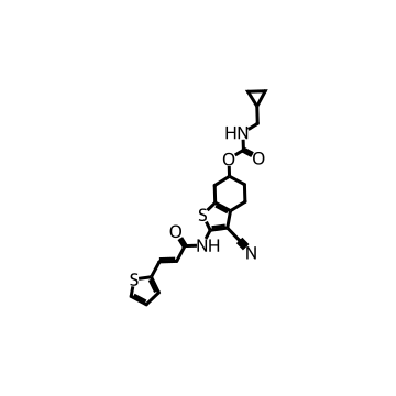 N#Cc1c(NC(=O)C=Cc2cccs2)sc2c1CCC(OC(=O)NCC1CC1)C2